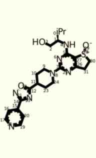 CC(C)[C@H](CO)Nc1nc(N2CCC(c3nc(-c4ccncc4)no3)CC2)nc2c1[S+]([O-])CC2